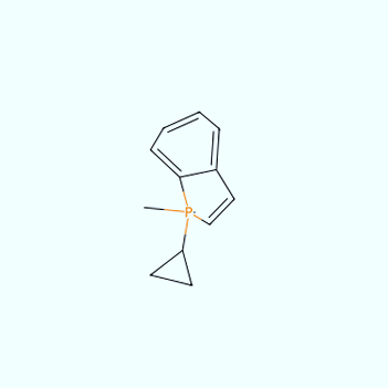 C[P]1(C2CC2)C=Cc2ccccc21